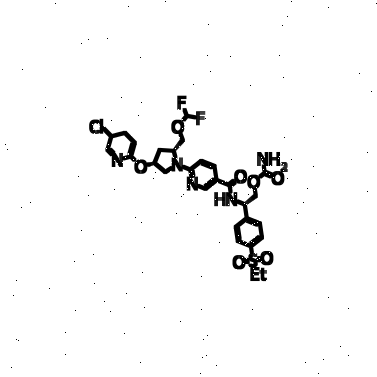 CCS(=O)(=O)c1ccc([C@H](COC(N)=O)NC(=O)c2ccc(N3C[C@@H](OC4=CCC(Cl)C=N4)C[C@H]3COC(F)F)nc2)cc1